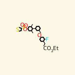 CCOC(=O)CCc1ccc(OCc2cccc(-c3c(C)cc(OS(=O)(=O)c4ccsc4)cc3C)c2)cc1F